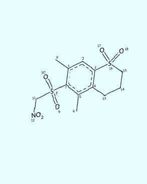 Cc1cc2c(c(C)c1S(=O)(=O)C[N+](=O)[O-])CCCS2(=O)=O